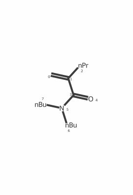 C=C(CCC)C(=O)N(CCCC)CCCC